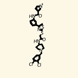 Cn1ccc(C(=O)Nc2cccc(-c3csc(SCC(=O)NC4CCN(Cc5ccc(Cl)c(Cl)c5)CC4)n3)c2)c1